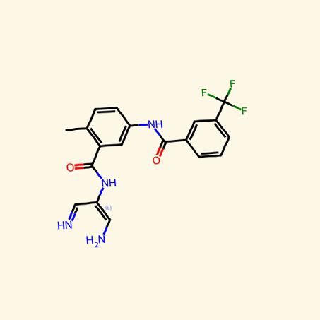 Cc1ccc(NC(=O)c2cccc(C(F)(F)F)c2)cc1C(=O)N/C(C=N)=C/N